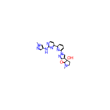 CN1CC[C@](O)(c2cnn(-c3cccc(-c4ccnc(Nc5cnn(C)c5)n4)n3)c2)C1=O